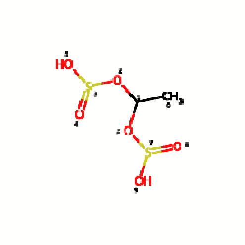 CC(OS(=O)O)OS(=O)O